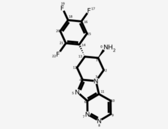 N[C@H]1Cn2c(nc3nnccc32)C[C@@H]1c1cc(F)c(F)cc1F